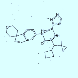 Cn1nccc1C(=O)N[C@H](C(=O)Nc1ccc2c(c1)C=CC21CCOCC1)C(C1CCC1)C1(C)CC1